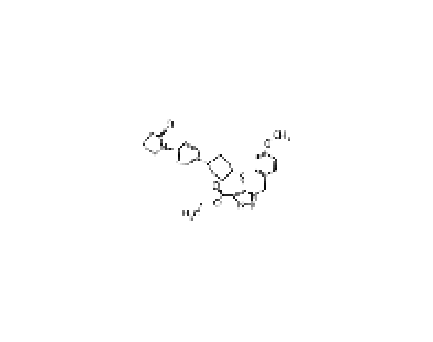 CCOC(=O)c1nnn(Cc2ccc(OC)cc2)c1S[C@H]1CC[C@@H](c2ccc(N3CCCC3=O)cc2)CC1